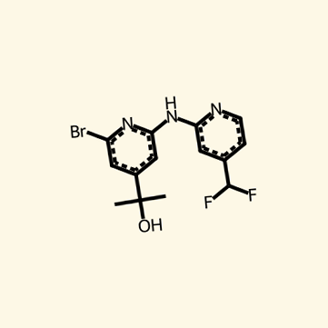 CC(C)(O)c1cc(Br)nc(Nc2cc(C(F)F)ccn2)c1